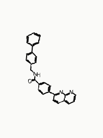 O=C(NCc1ccc(-c2ccccc2)cc1)c1ccc(-c2ccc3cccnc3n2)cc1